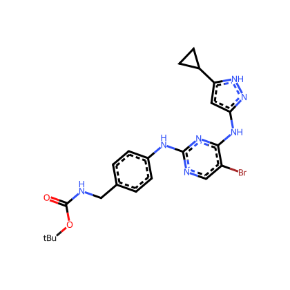 CC(C)(C)OC(=O)NCc1ccc(Nc2ncc(Br)c(Nc3cc(C4CC4)[nH]n3)n2)cc1